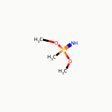 COP(C)(=N)OC